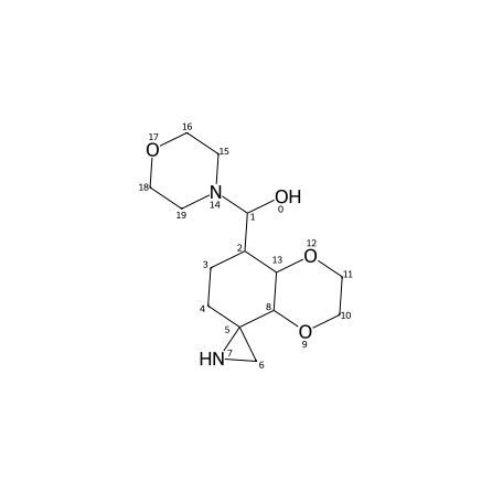 OC(C1CCC2(CN2)C2OCCOC12)N1CCOCC1